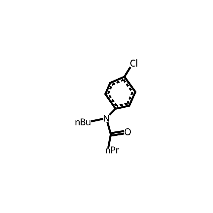 CCCCN(C(=O)CCC)c1ccc(Cl)cc1